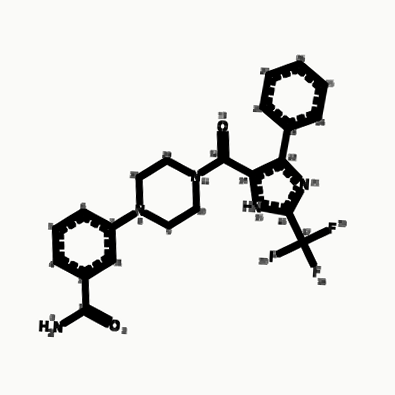 NC(=O)c1cccc(N2CCN(C(=O)c3[nH]c(C(F)(F)F)nc3-c3ccccc3)CC2)c1